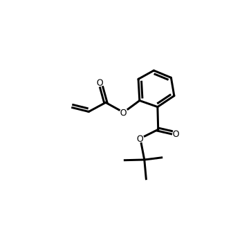 C=CC(=O)Oc1ccccc1C(=O)OC(C)(C)C